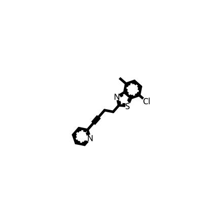 Cc1ccc(Cl)c2sc(CCC#Cc3ccccn3)nc12